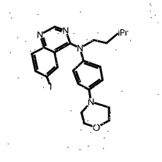 CC(C)CCN(c1ccc(N2CCOCC2)cc1)c1ncnc2ccc(I)cc12